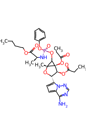 CCCCOC(=O)[C@H](C)N[P@@](=O)(Oc1ccccc1)OC1[C@@]2(C)O[C@@H](c3ccc4c(N)ncnn34)[C@H](OC(=O)CC)[C@@]12OC(=O)CC